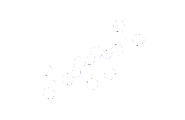 C1=CC(N(c2ccccc2)c2ccc3c(c2)c2ccc4c5ccc6c7cc(N(c8ccccc8)c8ccccc8)ccc7n(-c7ccccc7)c6c5sc4c2n3-c2ccccc2)=CCC1